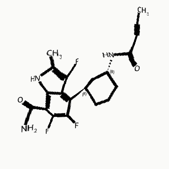 CC#CC(=O)N[C@@H]1CCC[C@@H](c2c(F)c(F)c(C(N)=O)c3[nH]c(C)c(F)c23)C1